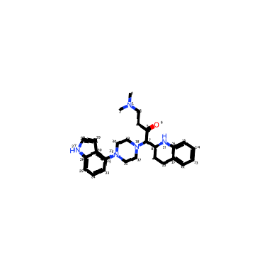 CN(C)CCC(=O)C(C1CCc2ccccc2N1)N1CCN(c2cccc3[nH]ccc23)CC1